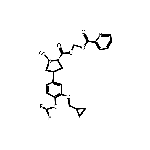 CC(=O)N1C[C@H](c2ccc(OC(F)F)c(OCC3CC3)c2)C[C@@H]1C(=O)OCOC(=O)c1ccccn1